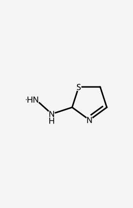 [NH]NC1N=CCS1